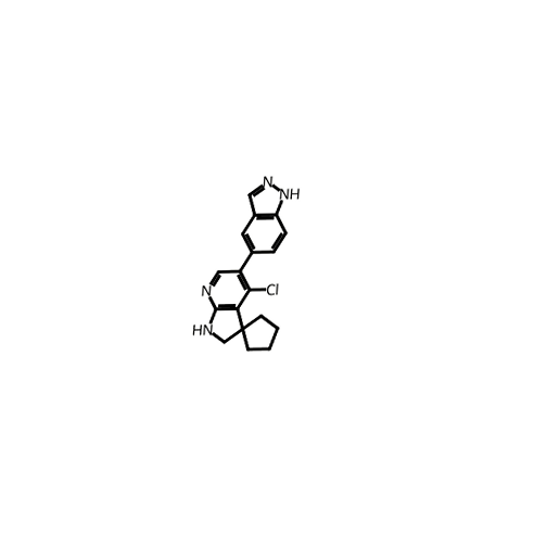 Clc1c(-c2ccc3[nH]ncc3c2)cnc2c1C1(CCCC1)CN2